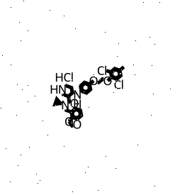 Cc1cc(Cl)c(OCCOc2ccc(N[C@H]3CCNCC3C(=O)N(Cc3cccc4c3OCO4)C3CC3)cc2)c(Cl)c1.Cl